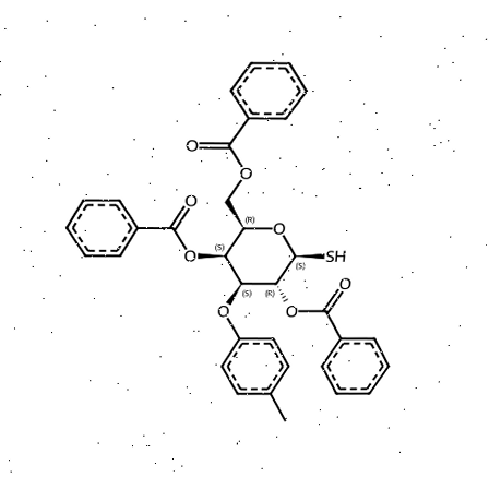 Cc1ccc(O[C@@H]2[C@@H](OC(=O)c3ccccc3)[C@H](S)O[C@H](COC(=O)c3ccccc3)[C@@H]2OC(=O)c2ccccc2)cc1